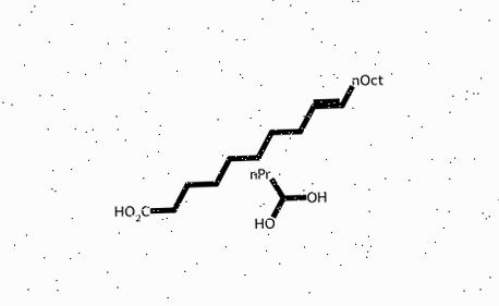 CCCC(O)O.CCCCCCCCC=CCCCCCCCC(=O)O